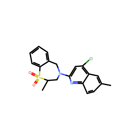 Cc1ccc2nc(N3Cc4ccccc4S(=O)(=O)C(C)C3)cc(Cl)c2c1